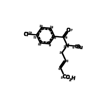 CC(C)(C)N(C/C=C/C(=O)O)C(=O)c1ccc(Cl)cc1